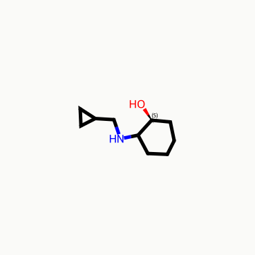 O[C@H]1CCCCC1NCC1CC1